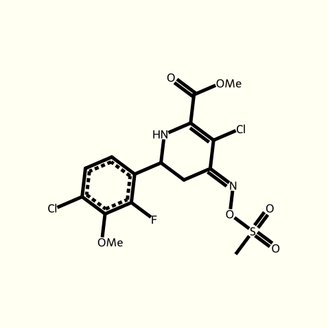 COC(=O)C1=C(Cl)C(=NOS(C)(=O)=O)CC(c2ccc(Cl)c(OC)c2F)N1